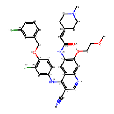 COCCOc1cc2ncc(C#N)c(Nc3ccc(OCc4cccc(F)c4)c(Cl)c3)c2cc1NC(=O)C=C1CCN(C)CC1